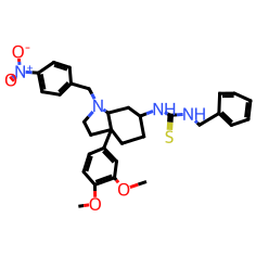 COc1ccc(C23CCC(NC(=S)NCc4ccccc4)CC2N(Cc2ccc([N+](=O)[O-])cc2)CC3)cc1OC